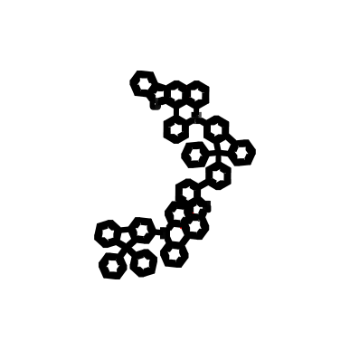 c1ccc(N(c2ccc3c(c2)C(c2ccccc2)(c2ccccc2)c2ccccc2-3)c2ccccc2-c2ccc3sc4c(-c5cccc(C6(c7ccccc7)c7ccccc7-c7ccc(N(c8ccccc8)c8ccccc8-c8cccc9c8oc8ccccc89)cc76)c5)cccc4c3c2)cc1